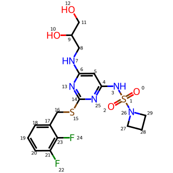 O=S(=O)(Nc1cc(NCC(O)CO)nc(SCc2cccc(F)c2F)n1)N1CCC1